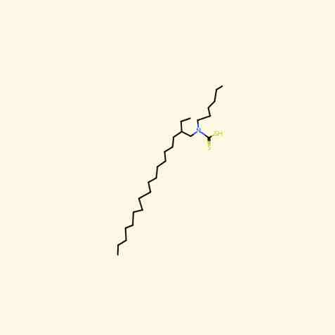 CCCCCCCCCCCCCCCCC(CC)CN(CCCCCC)C(=S)S